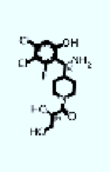 N[C@@H](c1c(O)cc(Cl)c(Cl)c1F)C1CCN(C(=O)[C@H](O)CO)CC1